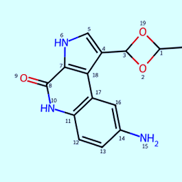 CC1OC(c2c[nH]c3c(=O)[nH]c4ccc(N)cc4c23)O1